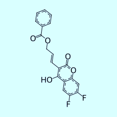 O=C(OCC=Cc1c(O)c2cc(F)c(F)cc2oc1=O)c1ccccc1